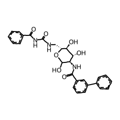 O=C(NC[C@H]1OC(O)[C@H](NC(=O)c2cccc(-c3ccccc3)c2)[C@@H](O)[C@@H]1O)NC(=O)c1ccccc1